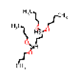 CCCCO[SiH](CCC[SiH](OCCCC)OCCCC)OCCCC